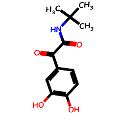 CC(C)(C)NC(=O)C(=O)c1ccc(O)c(O)c1